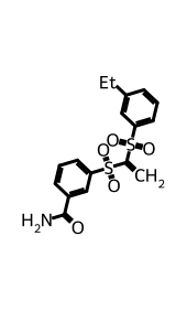 C=C(S(=O)(=O)c1cccc(CC)c1)S(=O)(=O)c1cccc(C(N)=O)c1